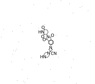 N#CC1(N2CCNCC2)CN(c2ccc3c(c2)C(=O)N(C2CCC(=O)NC2=O)C3=O)C1